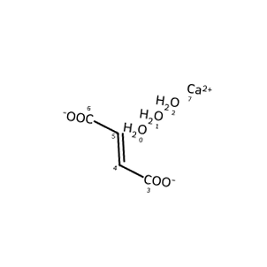 O.O.O.O=C([O-])C=CC(=O)[O-].[Ca+2]